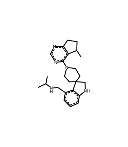 CC(C)NCc1cccc2c1C1(CCN(c3ncnc4c3C(C)CC4)CC1)CN2